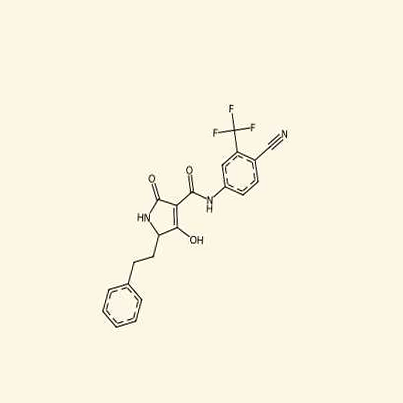 N#Cc1ccc(NC(=O)C2=C(O)C(CCc3ccccc3)NC2=O)cc1C(F)(F)F